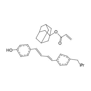 C=CC(=O)OC12CC3CC(CC(C3)C1)C2.CC(C)Cc1ccc(C=CC=Cc2ccc(O)cc2)cc1